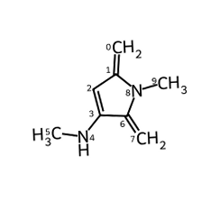 C=c1cc(NC)c(=C)n1C